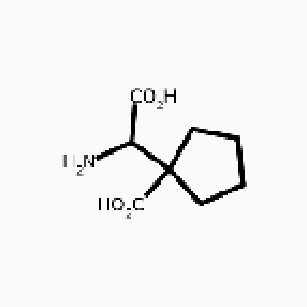 NC(C(=O)O)C1(C(=O)O)CCCC1